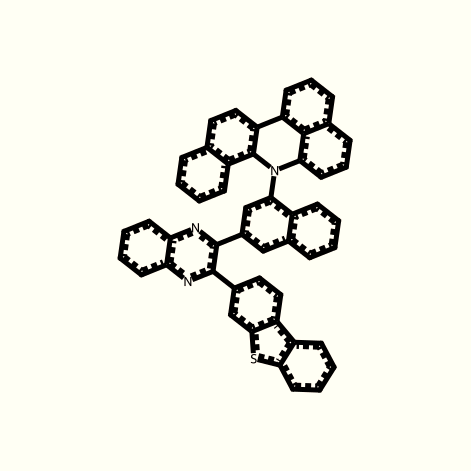 c1ccc2c(N3c4c(ccc5ccccc45)-c4cccc5cccc3c45)cc(-c3nc4ccccc4nc3-c3ccc4c(c3)sc3ccccc34)cc2c1